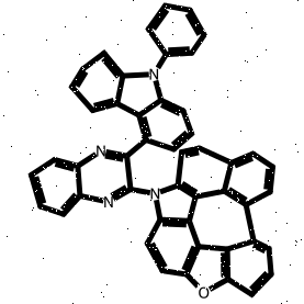 c1ccc(-n2c3ccccc3c3c(-c4nc5ccccc5nc4-n4c5ccc6cccc7c6c5c5c6c(ccc54)oc4cccc-7c46)cccc32)cc1